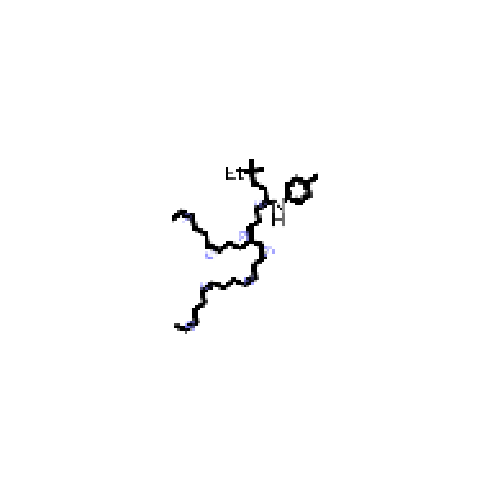 C/C=C\CC/C=C\CC/C=C\C/C=C\C(=C/C/C=C(/CCC(C)(C)CC)Nc1ccc(C)cc1)CC/C=C\CC/C=C\C